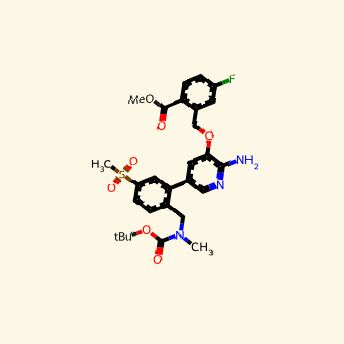 COC(=O)c1ccc(F)cc1COc1cc(-c2cc(S(C)(=O)=O)ccc2CN(C)C(=O)OC(C)(C)C)cnc1N